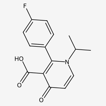 CC(C)n1ccc(=O)c(C(=O)O)c1-c1ccc(F)cc1